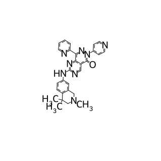 CN1Cc2cc(Nc3ncc4c(=O)n(-c5ccncc5)nc(-c5ccccn5)c4n3)ccc2C(C)(C)C1